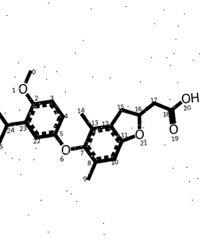 COc1ccc(Oc2c(C)cc3c(c2C)CC(CC(=O)O)O3)cc1C(C)C